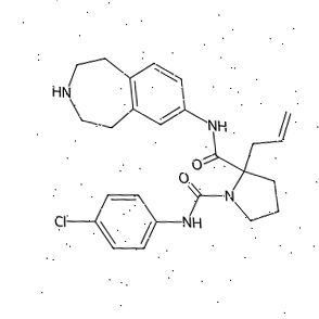 C=CCC1(C(=O)Nc2ccc3c(c2)CCNCC3)CCCN1C(=O)Nc1ccc(Cl)cc1